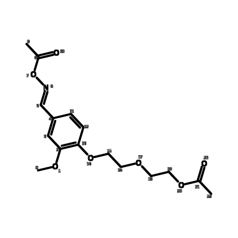 COc1cc(/C=N/OC(C)=O)ccc1OCCOCCOC(C)=O